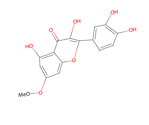 COOc1cc(O)c2c(=O)c(O)c(-c3ccc(O)c(O)c3)oc2c1